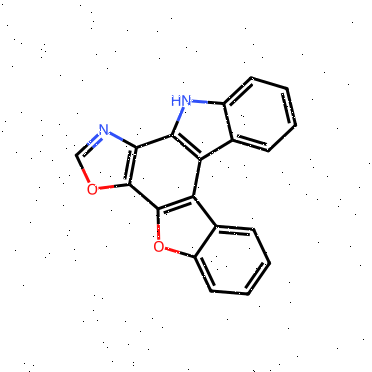 c1ccc2c(c1)[nH]c1c3ncoc3c3oc4ccccc4c3c21